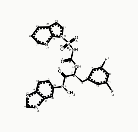 CN(C(=O)[C@H](Cc1cc(F)cc(F)c1)NC(=O)NS(=O)(=O)n1ccc2cccnc21)c1ccc2scnc2c1